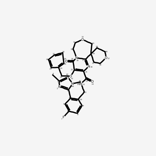 Cc1nc(-c2cc(F)ccc2CNC(=O)c2nc3n(c(=O)c2OCc2ccccc2)CCOCC32CCOCC2)n(C)n1